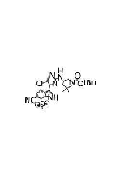 CC1(C)C[C@H](Nc2ncc(Cl)c(-c3c[nH]c4c(S(C)(=O)=O)c(C#N)ccc34)n2)CN(C(=O)OC(C)(C)C)C1